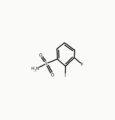 NS(=O)(=O)c1cccc(F)c1I